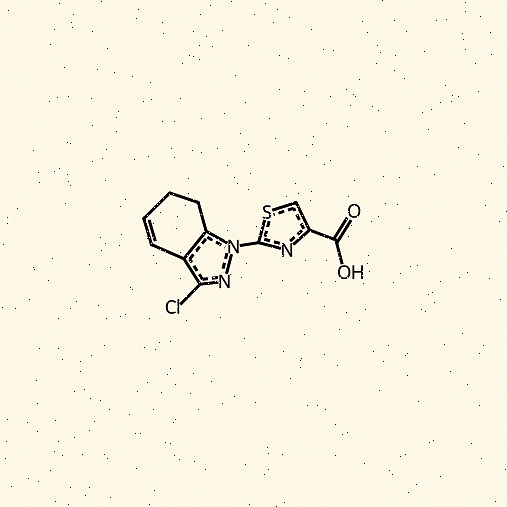 O=C(O)c1csc(-n2nc(Cl)c3c2CCC=C3)n1